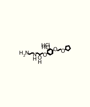 Cl.Cl.NCCNCC(O)COc1ccc(OCCOC2CCCC2)cc1